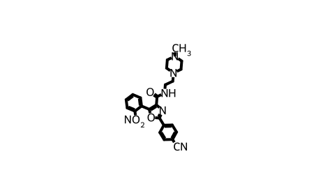 CN1CCN(CCNC(=O)c2nc(-c3ccc(C#N)cc3)oc2-c2ccccc2[N+](=O)[O-])CC1